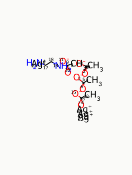 CC(=O)[O-].CC(=O)[O-].CC(=O)[O-].CC(=O)[O-].NCCN.[Ag+].[Ag+].[Ag+].[Ag+]